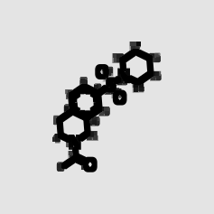 CC(=O)N1CCc2ccc(S(=O)(=O)N3CCCCC3)cc2C1